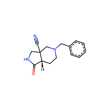 N#CC12CNC(=O)[C@H]1CCN(Cc1ccccc1)C2